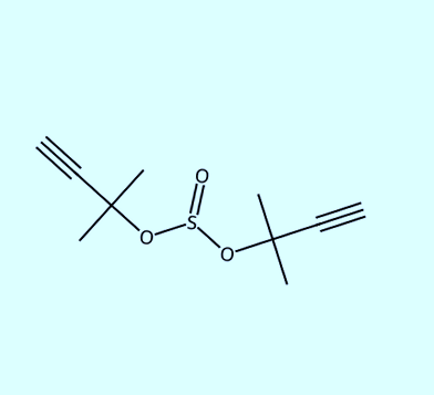 C#CC(C)(C)OS(=O)OC(C)(C)C#C